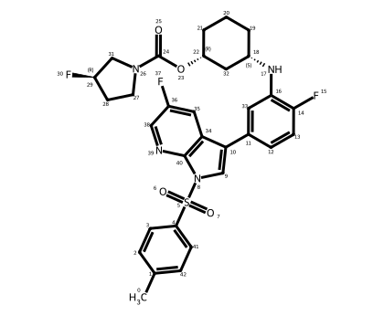 Cc1ccc(S(=O)(=O)n2cc(-c3ccc(F)c(N[C@H]4CCC[C@@H](OC(=O)N5CC[C@@H](F)C5)C4)c3)c3cc(F)cnc32)cc1